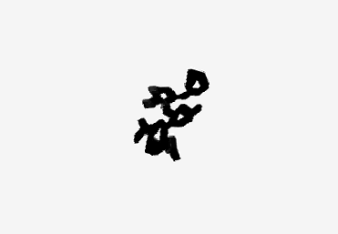 COc1ccc(C(C)C)cc1-c1ccc(C)cc1CN1C(=O)OC[C@@H]1Cc1ccccc1